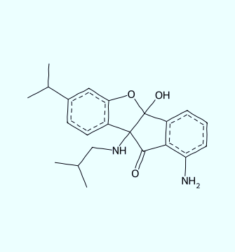 CC(C)CNC12C(=O)c3c(N)cccc3C1(O)Oc1cc(C(C)C)ccc12